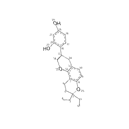 CCC1(CC)CCc2c(ccc3c2OCC(c2ccc(O)cc2O)C3)O1